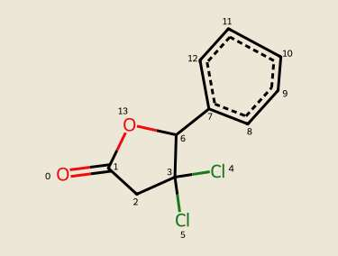 O=C1CC(Cl)(Cl)C(c2ccccc2)O1